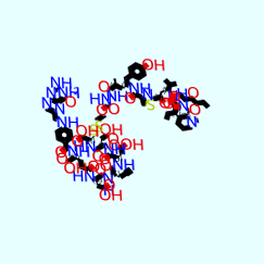 C#CC[C@H](NC(=O)[C@H](CC(=O)O)NC(=O)CC[C@H](NC(=O)c1ccc(NCc2cnc3nc(N)[nH]c(=O)c3n2)cc1)C(=O)O)C(=O)N[C@@H](CC(=O)O)C(=O)N[C@@H](CC(=O)O)C(=O)N[C@@H](CSSCCOC(=O)NNC(=O)[C@@H](C)C[C@H](Cc1ccc(O)cc1)NC(=O)c1csc([C@@H](C[C@H](C(C)C)N(CCC(=O)CCC)C(=O)[C@@H](NC(=O)[C@H]2CCCCN2C)[C@H](C)CC)OC(C)=O)n1)C(=O)O